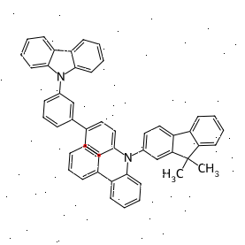 CC1(C)c2ccccc2-c2ccc(N(c3ccc(-c4cccc(-n5c6ccccc6c6ccccc65)c4)cc3)c3ccccc3-c3ccccc3)cc21